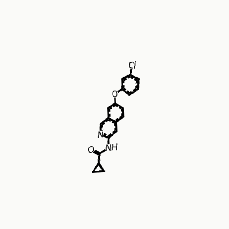 O=C(Nc1cc2ccc(Oc3cccc(Cl)c3)cc2cn1)C1CC1